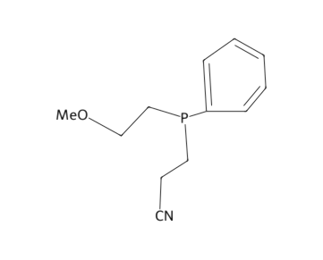 COCCP(CCC#N)c1ccccc1